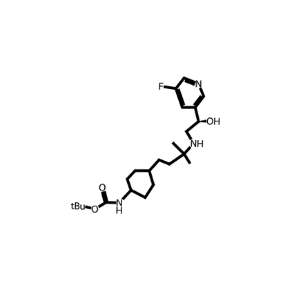 CC(C)(CCC1CCC(NC(=O)OC(C)(C)C)CC1)NC[C@H](O)c1cncc(F)c1